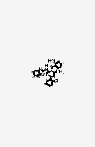 CC1=CC(c2ccccc2Cl)N=C(Nc2nc3ccccc3o2)N1Cc1ccccc1O